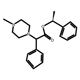 C[C@H](OC(=O)C(c1ccccc1)N1CCN(C)CC1)c1ccccc1